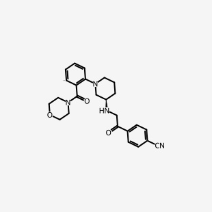 N#Cc1ccc(C(=O)CN[C@@H]2CCCN(c3ccc[c]c3C(=O)N3CCOCC3)C2)cc1